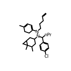 C=CCCCN(C1=CC=C(C)CC1)N(C1CC(C)C2(C)CC2C1)C(CCC)c1ccc(Cl)cc1